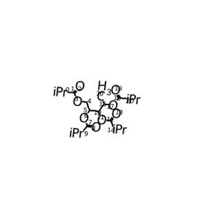 CC(C)C(=O)OCC(OC(=O)C(C)C)C(OC(=O)C(C)C)C(C)OC(=O)C(C)C